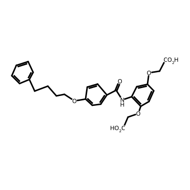 O=C(O)COc1ccc(OCC(=O)O)c(NC(=O)c2ccc(OCCCCc3ccccc3)cc2)c1